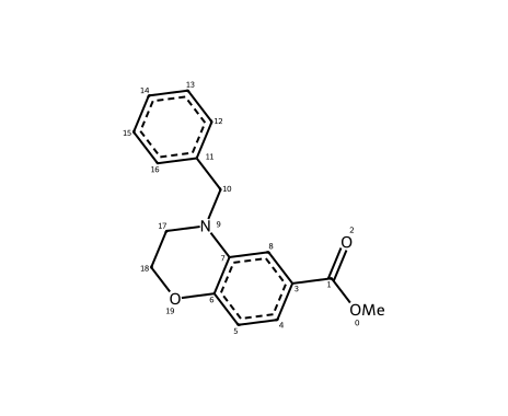 COC(=O)c1ccc2c(c1)N(Cc1ccccc1)CCO2